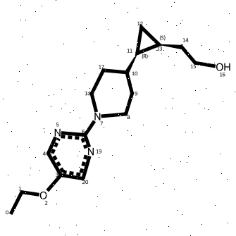 CCOc1cnc(N2CCC([C@H]3C[C@H]3CCO)CC2)nc1